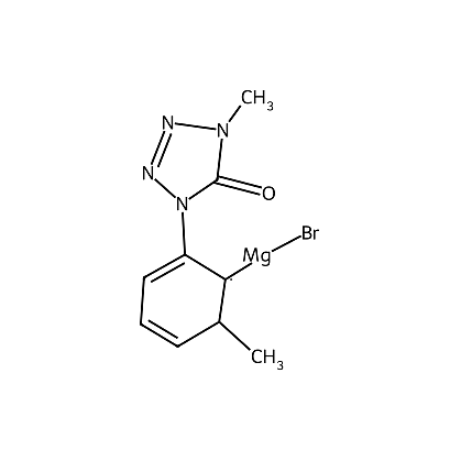 CC1C=CC=C(n2nnn(C)c2=O)[C]1[Mg][Br]